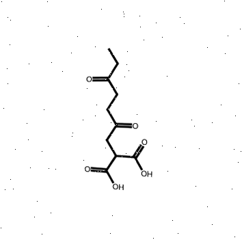 CCC(=O)CCC(=O)CC(C(=O)O)C(=O)O